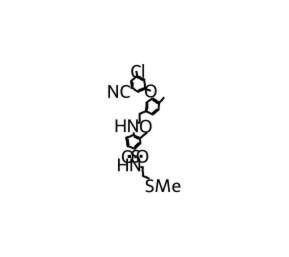 CSCCCNS(=O)(=O)c1ccc(NC(=O)Cc2ccc(C)c(Oc3cc(Cl)cc(C#N)c3)c2)c(C)c1